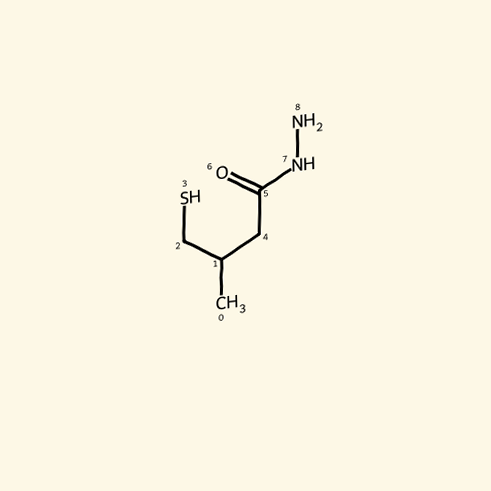 CC(CS)CC(=O)NN